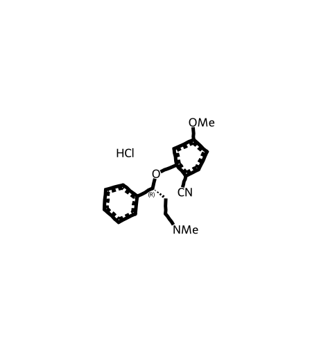 CNCC[C@@H](Oc1cc(OC)ccc1C#N)c1ccccc1.Cl